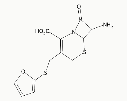 NC1C(=O)N2C(C(=O)O)=C(CSc3ccco3)CSC12